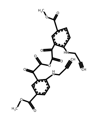 C#CCNc1ccc(C(=O)OC)cc1C(=O)C(=O)OC(=O)C(=O)c1cc(C(=O)OC)ccc1NCC#C